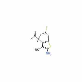 C=C(C)C1(C)CC(F)Cc2sc(N)c(C#N)c21